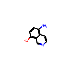 Nc1ccc(O)c2cnccc12